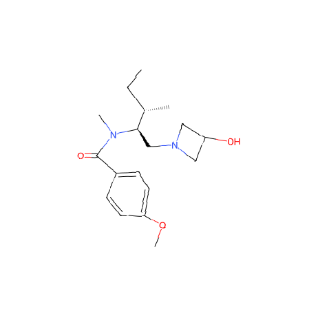 CC[C@H](C)[C@@H](CN1CC(O)C1)N(C)C(=O)c1ccc(OC)cc1